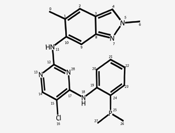 Cc1cc2cn(C)nc2cc1Nc1ncc(Cl)c(Nc2ccccc2P(C)C)n1